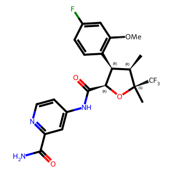 COc1cc(F)ccc1[C@H]1[C@@H](C)[C@@](C)(C(F)(F)F)O[C@H]1C(=O)Nc1ccnc(C(N)=O)c1